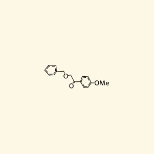 COc1ccc(C(=O)COCc2ccccc2)cc1